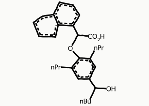 CCCCC(O)c1cc(CCC)c(OC(C(=O)O)c2cccc3ccccc23)c(CCC)c1